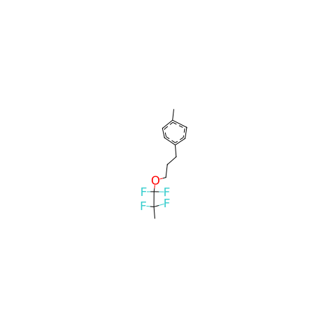 Cc1ccc(CCCOC(F)(F)C(C)(F)F)cc1